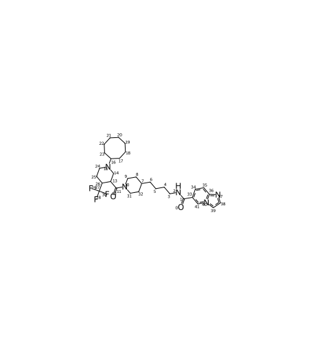 O=C(NCCCCC1CCN(C(=O)C2CN(C3CCCCCCC3)CCC2C(F)(F)F)CC1)c1ccc2nccn2c1